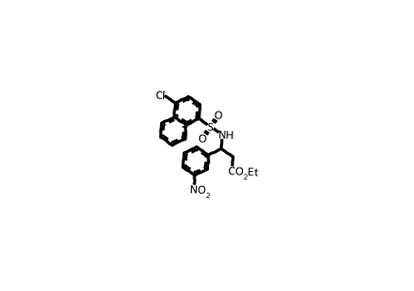 CCOC(=O)CC(NS(=O)(=O)c1ccc(Cl)c2ccccc12)c1cccc([N+](=O)[O-])c1